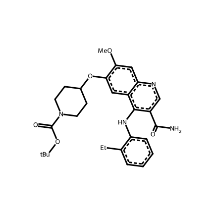 CCc1ccccc1Nc1c(C(N)=O)cnc2cc(OC)c(OC3CCN(C(=O)OC(C)(C)C)CC3)cc12